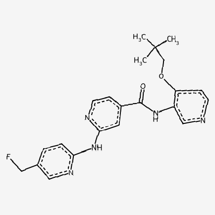 CC(C)(C)COc1ccncc1NC(=O)c1ccnc(Nc2ccc(CF)cn2)c1